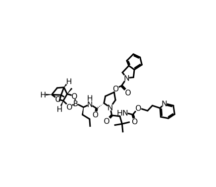 CCC[C@H](NC(=O)[C@@H]1C[C@@H](OC(=O)N2Cc3ccccc3C2)CN1C(=O)[C@@H](NC(=O)OCCc1ccccn1)C(C)(C)C)B1O[C@@H]2C[C@@H]3C[C@@H](C3(C)C)[C@]2(C)O1